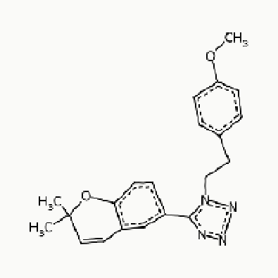 COc1ccc(CCn2nnnc2-c2ccc3c(c2)C=CC(C)(C)O3)cc1